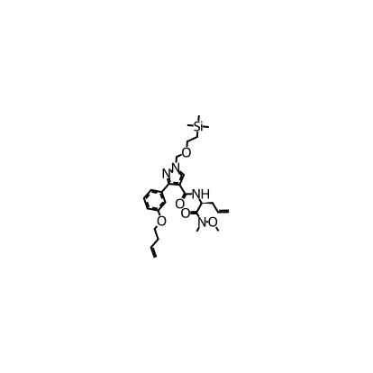 C=CCCOc1cccc(-c2nn(COCC[Si](C)(C)C)cc2C(=O)N[C@@H](CC=C)C(=O)N(C)OC)c1